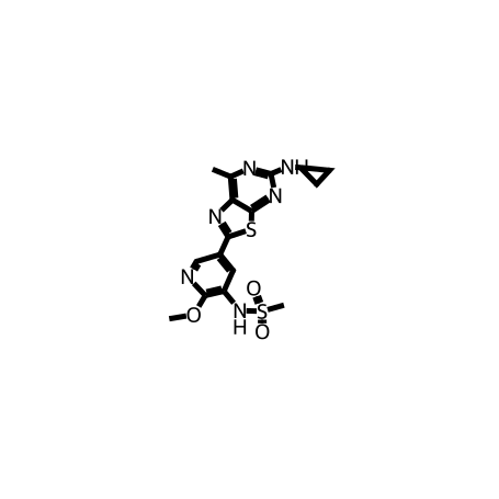 COc1ncc(-c2nc3c(C)nc(NC4CC4)nc3s2)cc1NS(C)(=O)=O